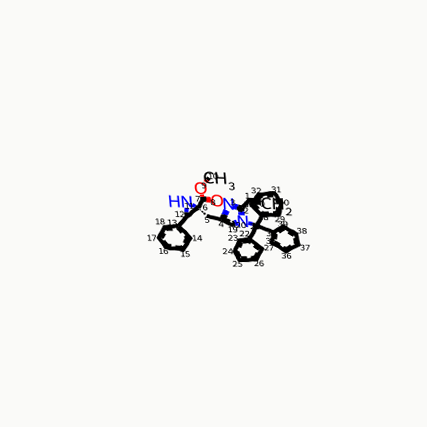 C=Cc1nc(C[C@@]2(C(=O)OC)NC2c2ccccc2)cn1C(c1ccccc1)(c1ccccc1)c1ccccc1